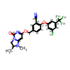 CC1Cn2c(cc(OCc3ccc(Oc4cc(F)cc(C(F)(F)F)c4)c(C#N)c3)nc2=O)N1C